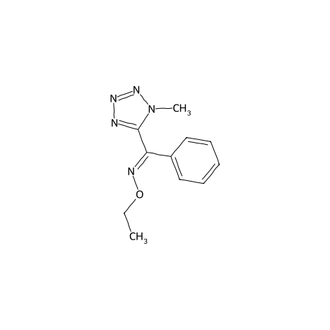 CCO/N=C(\c1ccccc1)c1nnnn1C